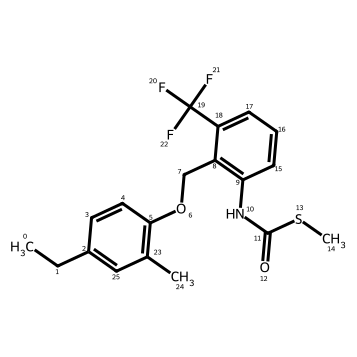 CCc1ccc(OCc2c(NC(=O)SC)cccc2C(F)(F)F)c(C)c1